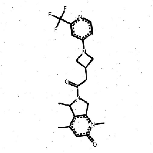 Cc1cc(=O)n(C)c2c1C(C)N(C(=O)CC1CN(c3ccnc(C(F)(F)F)c3)C1)C2